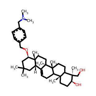 CN(C)Cc1ccc(CO[C@@H]2CC(C)(C)C[C@H]3C4=CCC5[C@@]6(C)CC[C@H](O)[C@](C)(CO)C6CC[C@@]5(C)[C@]4(C)CC[C@@]23C)cc1